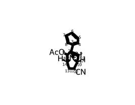 CC(=O)OC1C(c2ccccc2)=C[C@@H]2[C@@H](C#N)C[C@H]1N2C